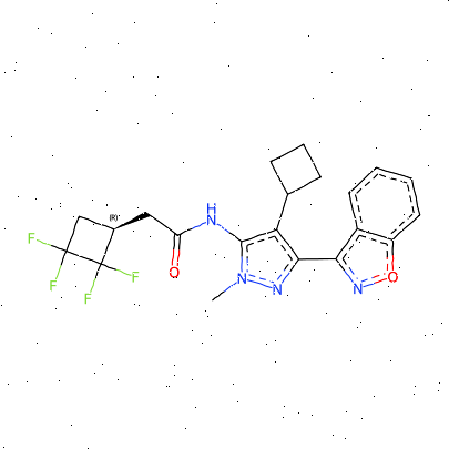 Cn1nc(-c2noc3ccccc23)c(C2CCC2)c1NC(=O)C[C@@H]1CC(F)(F)C1(F)F